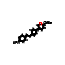 CCCC1CCC(CCc2ccc(C3CCC(OC)OC3)cc2)CC1